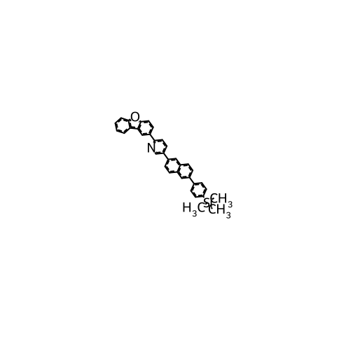 C[Si](C)(C)c1ccc(-c2ccc3cc(-c4ccc(-c5ccc6oc7ccccc7c6c5)nc4)ccc3c2)cc1